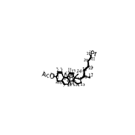 CC(=O)O[C@H]1CC[C@@]2(C)C(=CC[C@@H]3C2CC[C@]2(C)[C@@H]([C@H](C)CCCCC(C)C)CC[C@@H]32)C1